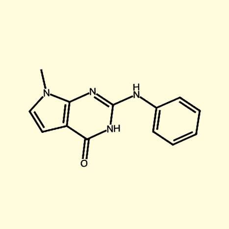 Cn1ccc2c(=O)[nH]c(Nc3ccccc3)nc21